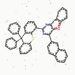 c1ccc(C2(c3ccccc3)c3ccccc3Sc3c(-c4nc(-c5ccc6ccccc6c5)c5oc6ccccc6c5n4)cccc32)cc1